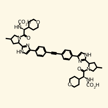 CC1CC(c2nc(-c3ccc(C#Cc4ccc(-c5c[nH]c(C6CC(C)CN6C(=O)[C@@H](NC(=O)O)C6CCOCC6)n5)cc4)cc3)c[nH]2)N(C(=O)[C@@H](NC(=O)O)C2CCOCC2)C1